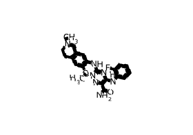 COc1cc2c(cc1Nc1nnc(C(N)=O)c(Nc3ccccc3F)n1)CN(C)CC2